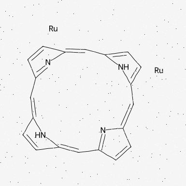 C1=Cc2cc3ccc(cc4nc(cc5ccc(cc1n2)[nH]5)C=C4)[nH]3.[Ru].[Ru]